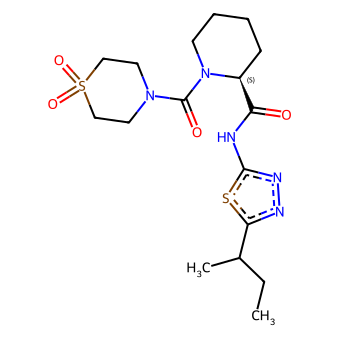 CCC(C)c1nnc(NC(=O)[C@@H]2CCCCN2C(=O)N2CCS(=O)(=O)CC2)s1